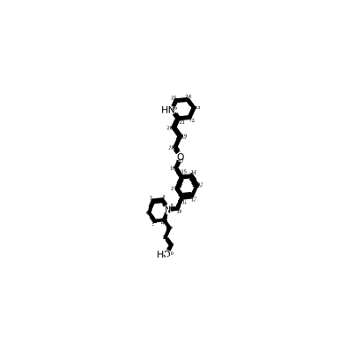 OCCCC1CCCCN1Cc1cccc(COCCCC2CCCCN2)c1